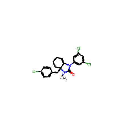 CN1C(=O)N(c2cc(Cl)cc(Cl)c2)C2=CCCCC21Cc1ccc(Br)cc1